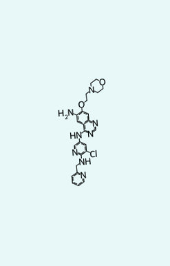 Nc1cc2c(Nc3cnc(NCc4ccccn4)c(Cl)c3)ncnc2cc1OCCN1CCOCC1